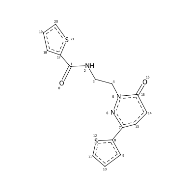 O=C(NCCn1nc(-c2cccs2)ccc1=O)c1cccs1